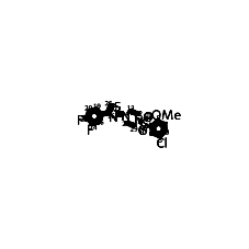 COc1ccc(Cl)cc1S(=O)(=O)N1CCN(c2nc(-c3ccc(F)c(F)c3)cs2)CC1